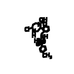 Cc1ccc(S(=O)(=O)NNCc2ccccc2C2CNC(Cl)CCN2C(=O)O)cc1